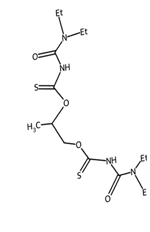 CCN(CC)C(=O)NC(=S)OCC(C)OC(=S)NC(=O)N(CC)CC